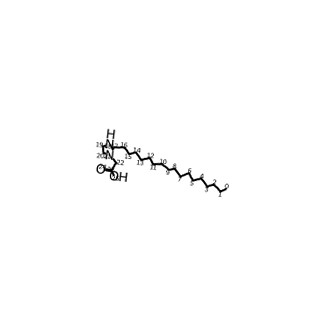 CCCCCCCCCCCCCCCCCC1NCCN1CC(=O)O